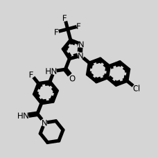 N=C(c1ccc(NC(=O)c2cc(C(F)(F)F)nn2-c2ccc3cc(Cl)ccc3c2)c(F)c1)N1CCCCC1